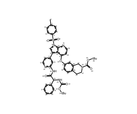 Cc1ccc(S(=O)(=O)n2cc(-c3ccnc(NC(=O)C(NC(=O)OC(C)(C)C)c4ccccc4)c3)c3c(Oc4ccc5c(c4)CN(C(=O)OC(C)(C)C)CC5)ccnc32)cc1